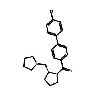 CCc1ccc(-c2ccc(C(=O)N3CCC[C@H]3CN3CCCC3)cc2)cc1